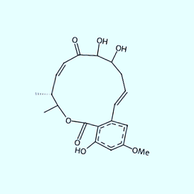 COc1cc(O)c2c(c1)/C=C/CC(O)C(O)C(=O)/C=C\[C@@H](C)C(C)OC2=O